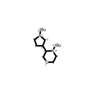 CC(C)(C)N1CCC(C2COCCN2C(C)(C)C)C1